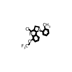 Cc1ccccc1N1CCc2c(Cl)nc3c(OCC(F)(F)F)cccc3c21